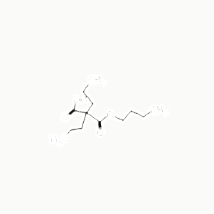 CCCCOC(=O)C(CCC)(CCC)C(=O)O